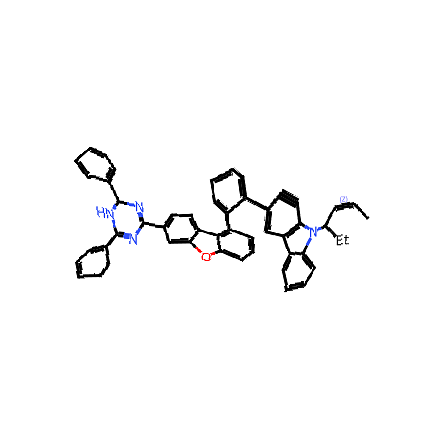 C/C=C\C(CC)n1c2c#cc(-c3ccccc3-c3cccc4oc5cc(C6=NC(c7ccccc7)NC(C7=CC=CCC7)=N6)ccc5c34)cc2c2ccccc21